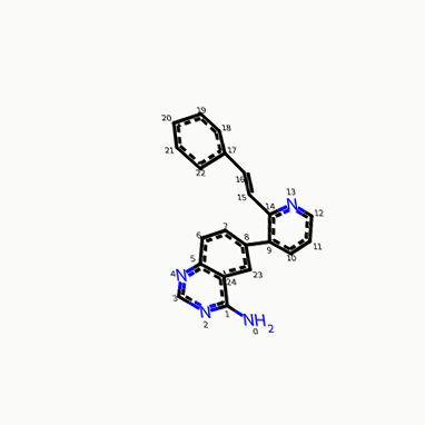 Nc1ncnc2ccc(-c3cccnc3C=Cc3ccccc3)cc12